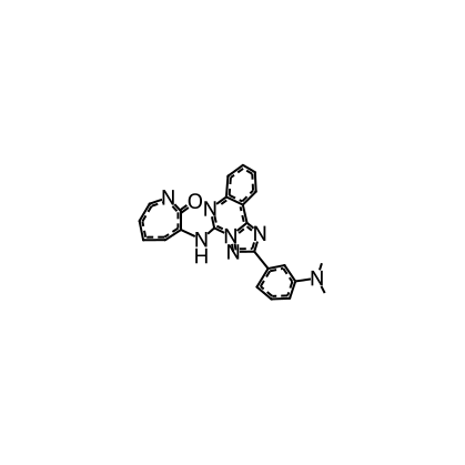 CN(C)c1cccc(-c2nc3c4ccccc4nc(Nc4ccccnc4=O)n3n2)c1